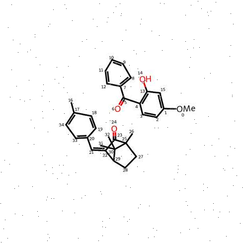 COc1ccc(C(=O)c2ccccc2)c(O)c1.Cc1ccc(/C=C2\C(=O)C3(C)CCC2C3(C)C)cc1